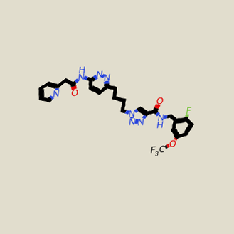 O=C(Cc1ccccn1)Nc1ccc(CCCCn2cc(C(=O)NCc3cc(OC(F)(F)F)ccc3F)nn2)nn1